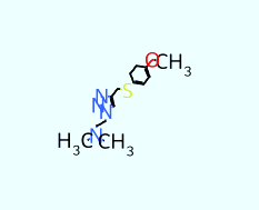 COC1=CC=C(SCc2cn(CCN(C)C)nn2)CC1